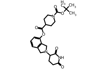 CC(C)(C)OC(=O)N1CCC(C(=O)Oc2cccc3c2CN(C2CCC(=O)NC2=O)C3)CC1